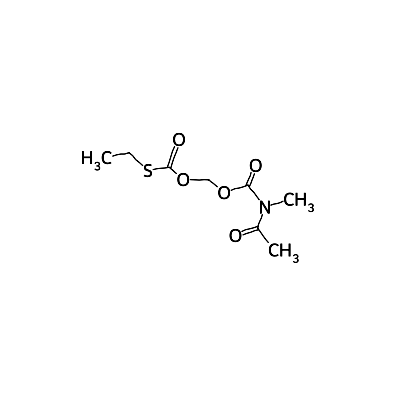 CCSC(=O)OCOC(=O)N(C)C(C)=O